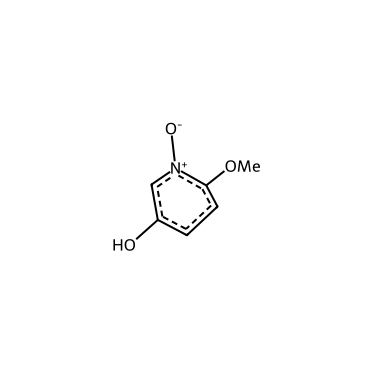 COc1ccc(O)c[n+]1[O-]